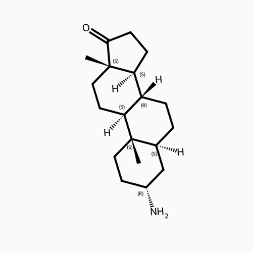 C[C@]12CC[C@@H](N)C[C@@H]1CC[C@@H]1[C@@H]2CC[C@]2(C)C(=O)CC[C@@H]12